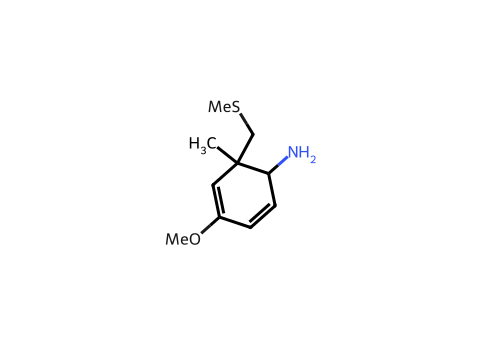 COC1=CC(C)(CSC)C(N)C=C1